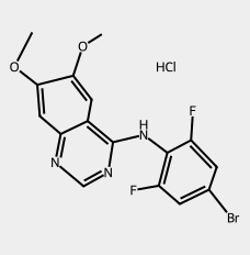 COc1cc2ncnc(Nc3c(F)cc(Br)cc3F)c2cc1OC.Cl